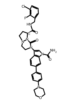 NC(=O)n1cc(N2CCN3CC[C@@H](C(=O)NCc4cccc(Cl)c4F)N3C2=O)c2ccc(-c3ccc(N4CCOCC4)cc3)cc21